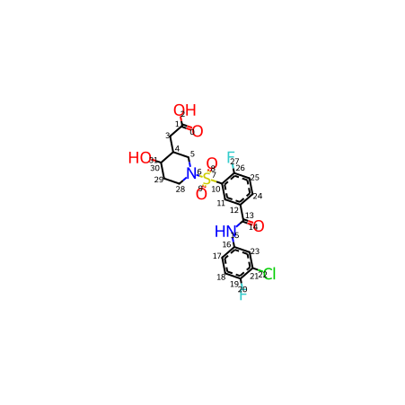 O=C(O)CC1CN(S(=O)(=O)c2cc(C(=O)Nc3ccc(F)c(Cl)c3)ccc2F)CCC1O